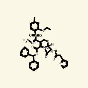 CCSc1cc(C)ccc1S(=O)(=O)/C(=N\N)C1=C(C(=O)OC(c2ccccc2)c2ccccc2)N2C(=O)[C@@H](NC(=O)Cc3cccs3)[C@H]2SC1